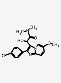 COc1ccc2nc(-c3ccc(Cl)cc3)c(C(O)C(=O)N(C)C)n2c1